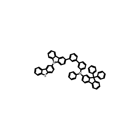 c1ccc(N(c2cccc(-c3cccc(-c4ccc5c(c4)c4ccccc4n5-c4ccc5sc6ccccc6c5c4)c3)c2)c2ccc3c(c2)C(c2ccccc2)(c2ccccc2)c2ccccc2-3)cc1